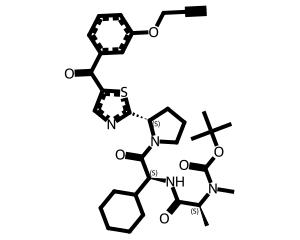 C#CCOc1cccc(C(=O)c2cnc([C@@H]3CCCN3C(=O)[C@@H](NC(=O)[C@H](C)N(C)C(=O)OC(C)(C)C)C3CCCCC3)s2)c1